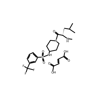 CN[C@@H](CC(C)C)C(=O)N1CCC(NS(=O)(=O)c2cccc(C(F)(F)F)c2)CC1.O=C(O)C=CC(=O)O